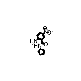 Nc1ccc([N+](=O)[O-])cc1C(=O)NC1CCCC1